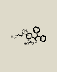 CCCN(C)[C@@H]1CCN(C(=O)C(c2ccccc2)c2ccccc2)[C@H](C(=O)O)C1